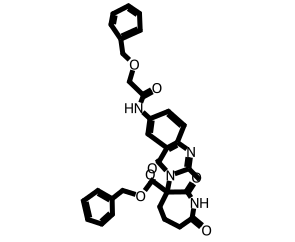 Cc1nc2ccc(NC(=O)COCc3ccccc3)cc2c(=O)n1C1(C(=O)OCc2ccccc2)CCCC(=O)NC1=O